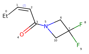 CC/C=C\C(=O)N1CC(F)(F)C1